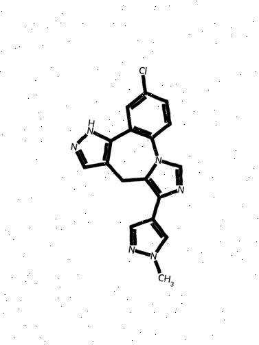 Cn1cc(-c2ncn3c2Cc2cn[nH]c2-c2cc(Cl)ccc2-3)cn1